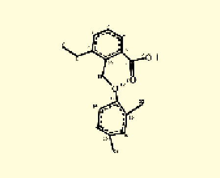 CCc1cccc(C(=O)O)c1COc1ccc(C)cc1C